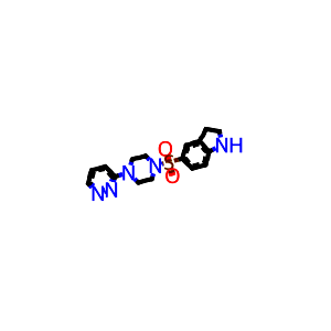 O=S(=O)(c1ccc2c(c1)CCN2)N1CCN(c2cccnn2)CC1